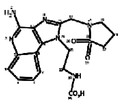 Nc1nc2ccccc2c2c1nc(CN1CCCS1(=O)=O)n2CCNC(=O)O